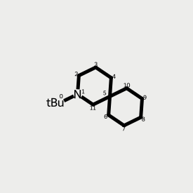 CC(C)(C)N1CCCC2(CCCCC2)C1